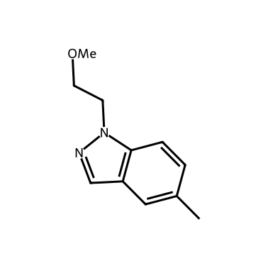 COCCn1ncc2cc(C)ccc21